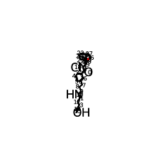 O=C(c1cccc(CCCNCCCCO)c1)N(Cl)CC12CC3CC(CC(C3)C1)C2